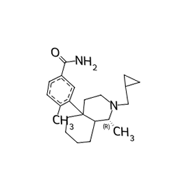 Cc1ccc(C(N)=O)cc1C12CCCCC1[C@@H](C)N(CC1CC1)CC2